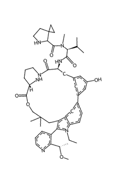 CCn1c(-c2cccnc2[C@H](C)OC)c2c3cc(ccc31)-c1cc(O)cc(c1)C[C@H](NC(=O)[C@H](C(C)C)N(C)C(=O)C1NCCC13CC3)C(=O)N1CCC[C@H](N1)C(=O)OCC(C)(C)C2